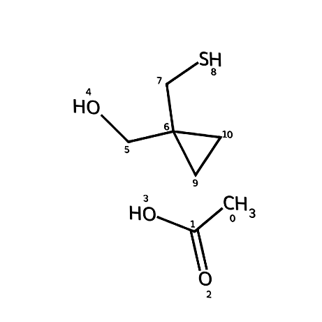 CC(=O)O.OCC1(CS)CC1